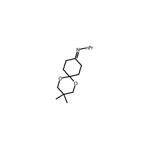 CCCN=C1CCC2(CC1)OCC(C)(C)CO2